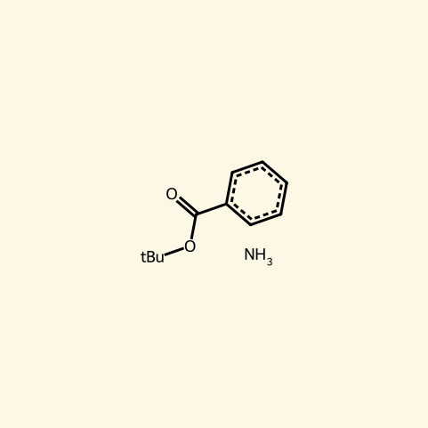 CC(C)(C)OC(=O)c1ccccc1.N